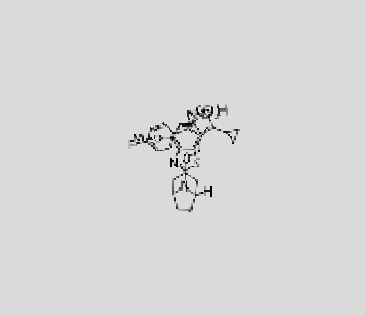 COc1cc(C(=O)O)cc2sc(N3C4CC[C@H]3CC(OCc3c(-c5ccc(F)cc5)noc3C3CC3)C4)nc12